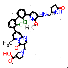 COc1nc(-c2cccc(-c3cccc(-c4cc(C)n5c(=O)c(CN6CC[C@@H](C(=O)O)C6)cnc5c4)c3Cl)c2Cl)ccc1CNC[C@H]1CCC(=O)N1